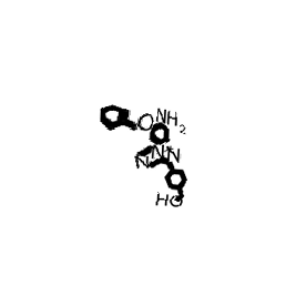 Nc1ccc([N+]23C=CN=CC2=C(C2CCC(CO)CC2)N=C3)cc1OCc1ccccc1